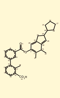 CC1=C(OC(=O)c2cccc(-c3cccc(C(=O)O)c3C)c2)C=C2CC(C3CCCC3)C=C2C1C